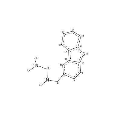 CN(C)CN(C)Cc1ccc2sc3ccccc3c2c1